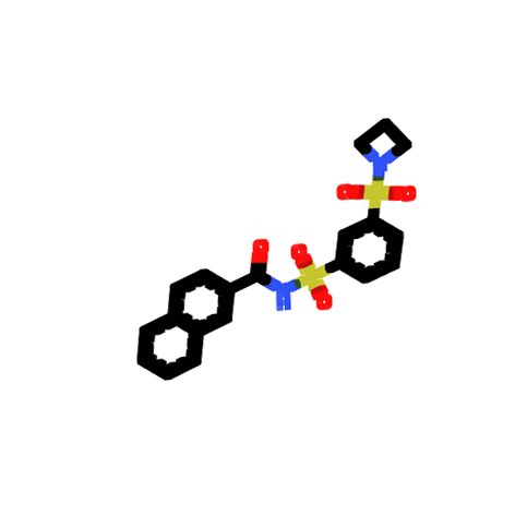 O=C(NS(=O)(=O)c1cccc(S(=O)(=O)N2CCC2)c1)c1ccc2ccccc2c1